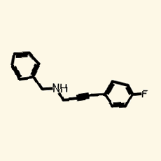 Fc1ccc(C#CCNCc2ccccc2)cc1